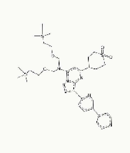 C[Si](C)(C)CCOCN(COCC[Si](C)(C)C)c1cc(C2CCS(=O)(=O)CC2)nc2c(-c3ccc(-c4ccccc4)cn3)cnn12